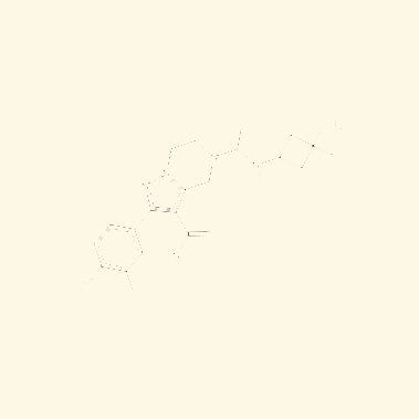 CC1(F)CC(NC(O)N2CCn3nc(-c4ccc(Cl)c(Cl)c4)c(C(N)=O)c3C2)C1